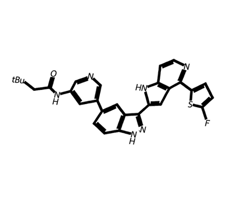 CC(C)(C)CC(=O)Nc1cncc(-c2ccc3[nH]nc(-c4cc5c(-c6ccc(F)s6)nccc5[nH]4)c3c2)c1